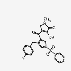 CN1CC(C(=O)c2cn(S(=O)(=O)c3ccccc3)cc2Cc2ccc(F)cc2)=C(O)C1=O